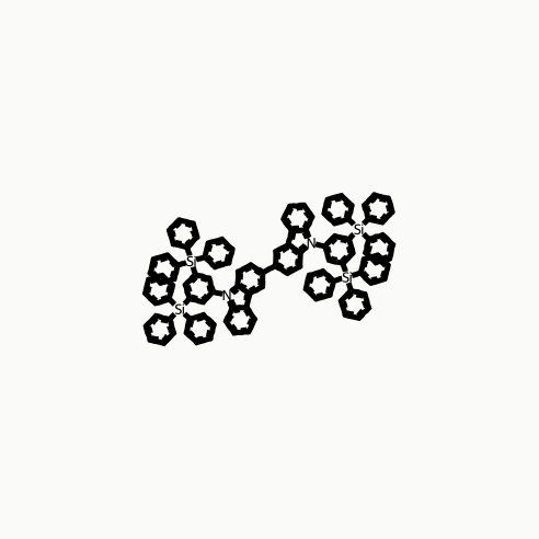 c1ccc([Si](c2ccccc2)(c2ccccc2)c2cc(-n3c4ccccc4c4cc(-c5ccc6c(c5)c5ccccc5n6-c5cc([Si](c6ccccc6)(c6ccccc6)c6ccccc6)cc([Si](c6ccccc6)(c6ccccc6)c6ccccc6)c5)ccc43)cc([Si](c3ccccc3)(c3ccccc3)c3ccccc3)c2)cc1